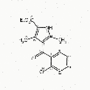 CCOC(=O)c1[nH]c(C)c(C(=O)c2ccccc2Cl)c1C